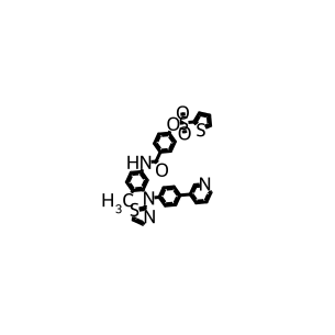 Cc1ccc(NC(=O)c2ccc(OS(=O)(=O)c3cccs3)cc2)cc1N(c1ccc(-c2cccnc2)cc1)c1nccs1